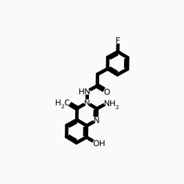 C=C1c2cccc(O)c2N=C(N)N1NC(=O)Cc1cccc(F)c1